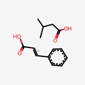 CC(C)CC(=O)O.O=C(O)/C=C/c1ccccc1